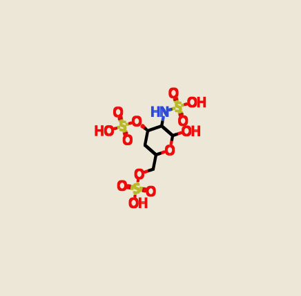 O=S(=O)(O)NC1C(O)OC(COS(=O)(=O)O)C[C@H]1OS(=O)(=O)O